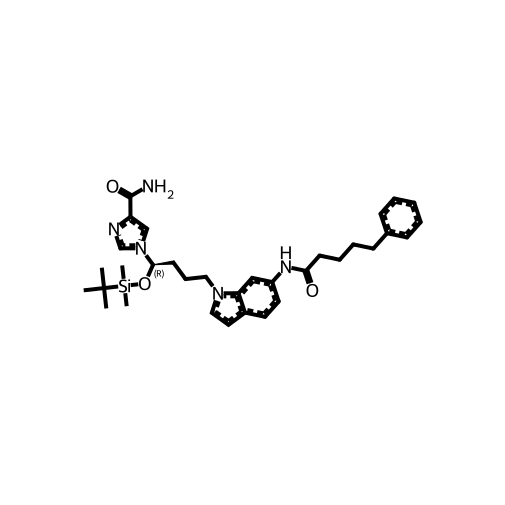 CC(C)(C)[Si](C)(C)O[C@H](CCCn1ccc2ccc(NC(=O)CCCCc3ccccc3)cc21)n1cnc(C(N)=O)c1